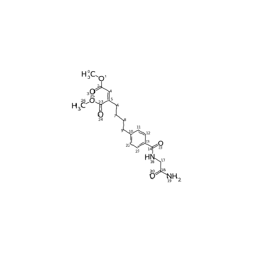 COC(=O)/C=C(/CCCCc1ccc(C(=O)NCC(N)=O)cc1)C(=O)OC